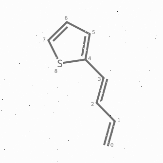 C=CC=Cc1cccs1